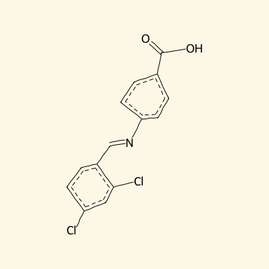 O=C(O)c1ccc(N=Cc2ccc(Cl)cc2Cl)cc1